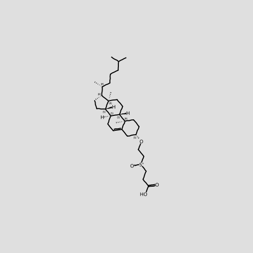 CC(C)CCC[C@@H](C)[C@H]1CC[C@H]2[C@@H]3CC=C4C[C@@H](OCC[S+]([O-])CCC(=O)O)CC[C@]4(C)[C@H]3CC[C@]12C